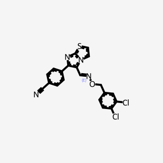 N#Cc1ccc(-c2nc3sccn3c2/C=N/OCc2ccc(Cl)c(Cl)c2)cc1